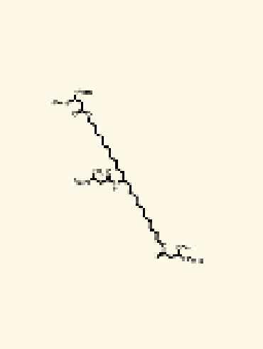 CCCCCC(CCCCC)CC(=O)OCCCCCCCCCCC(CCCCCCCCCCOC(=O)CC(CCCCC)CCCCC)NC(=O)CC(C)NC